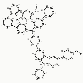 C=Cc1ccc(C2=CC3c4cc(-c5ccc(N(c6ccc(-c7ccccc7)cc6)c6ccc7c(c6)C(c6ccccc6)(c6ccc(C=C)cc6)c6ccccc6-7)cc5)ccc4N(c4ccccc4)C3C=C2)cc1